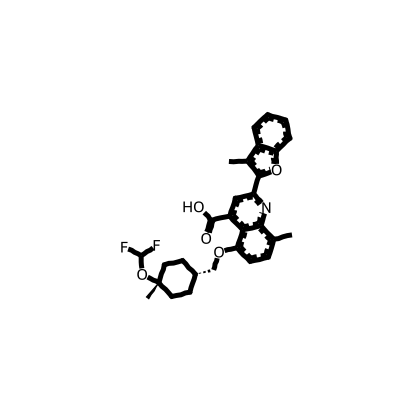 Cc1c(-c2cc(C(=O)O)c3c(OC[C@H]4CC[C@@](C)(OC(F)F)CC4)ccc(C)c3n2)oc2ccccc12